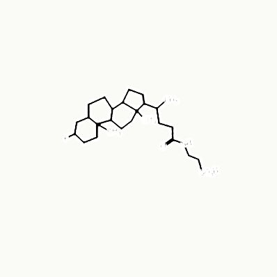 CC(CCC(=O)NCCS(=O)(=O)O)C1CCC2C3CCC4CC(F)CCC4(C)C3CCC12C